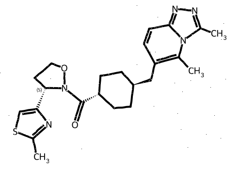 Cc1nc([C@@H]2CCON2C(=O)[C@H]2CC[C@H](Cc3ccc4nnc(C)n4c3C)CC2)cs1